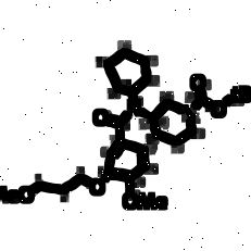 COCCCOc1cc(C(=O)N(C2CCCCC2)[C@@H]2CCCN(C(=O)OC(C)(C)C)C2)ccc1OC